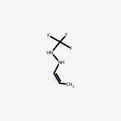 C/C=C\NNC(F)(F)F